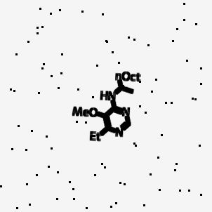 CCCCCCCCC(C)Nc1ncnc(CC)c1OC